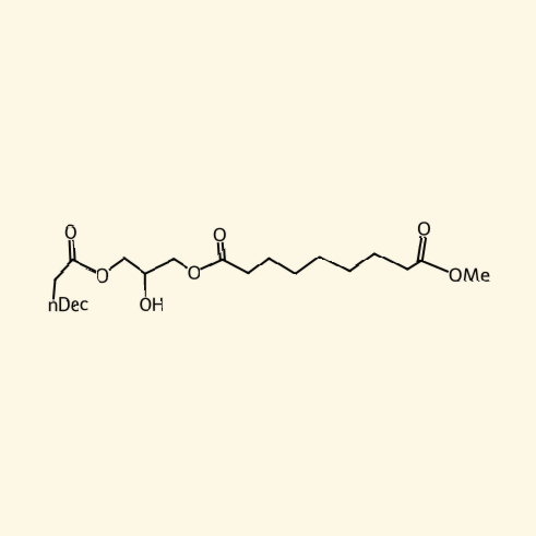 CCCCCCCCCCCC(=O)OCC(O)COC(=O)CCCCCCCC(=O)OC